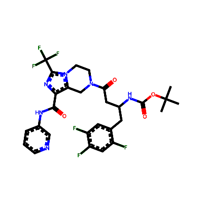 CC(C)(C)OC(=O)NC(CC(=O)N1CCn2c(C(F)(F)F)nc(C(=O)Nc3cccnc3)c2C1)Cc1cc(F)c(F)cc1F